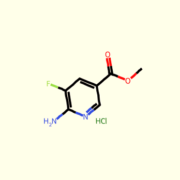 COC(=O)c1cnc(N)c(F)c1.Cl